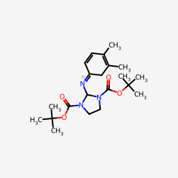 CC1=C(C)C/C(=N\C2N(C(=O)OC(C)(C)C)CCN2C(=O)OC(C)(C)C)C=C1